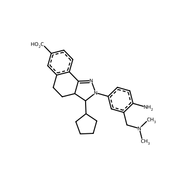 CN(C)Cc1cc(N2N=C3c4ccc(C(=O)O)cc4CCC3C2C2CCCC2)ccc1N